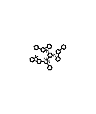 CC1(C)c2ccccc2-c2ccc(-c3cc(-c4ccccc4)nc(-c4cc(-n5c6ccccc6c6cc(-c7ccccc7)ccc65)cc(-n5c6ccccc6c6cc(-c7ccccc7)ccc65)c4)n3)cc21